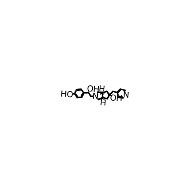 Oc1ccc(C(O)CN2C[C@@H]3C[C@@](O)(Cc4ccncc4)C[C@@H]3C2)cc1